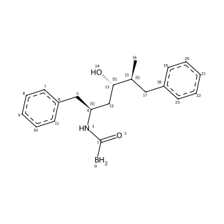 BC(=O)N[C@@H](Cc1ccccc1)C[C@H](O)[C@@H](C)Cc1ccccc1